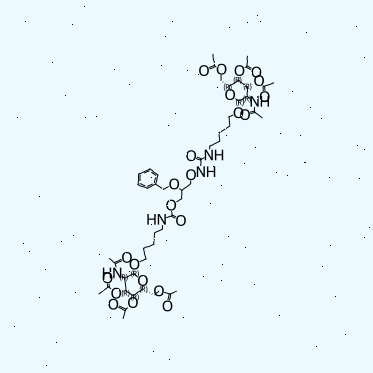 CC(=O)N[C@H]1[C@H](OCCCCCNC(=O)NOCC(COC(=O)NCCCCCO[C@@H]2O[C@H](COC(C)=O)[C@H](OC(C)=O)[C@H](OC(C)=O)[C@H]2NC(C)=O)OCc2ccccc2)O[C@H](COC(C)=O)[C@H](OC(C)=O)[C@@H]1OC(C)=O